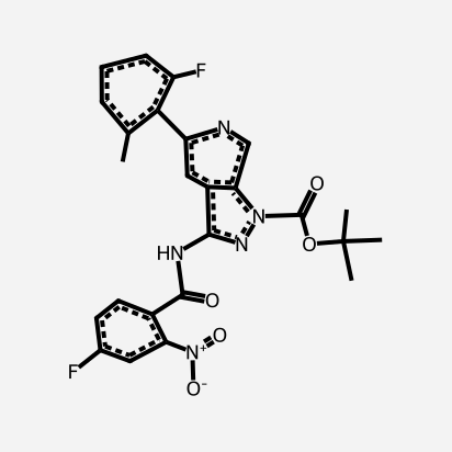 Cc1cccc(F)c1-c1cc2c(NC(=O)c3ccc(F)cc3[N+](=O)[O-])nn(C(=O)OC(C)(C)C)c2cn1